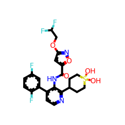 O=C(Nc1c(-c2cc(F)ccc2F)ccnc1C1CCS(O)(O)CC1)c1cc(OCC(F)F)no1